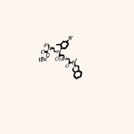 Cc1cc(Br)ccc1N(CCN(C(=O)OC(C)(C)C)C(C)C)C(=O)CNCC(=O)N(C)N1Cc2ccccc2C1